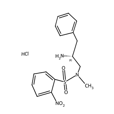 CN(C[C@H](N)Cc1ccccc1)S(=O)(=O)c1ccccc1[N+](=O)[O-].Cl